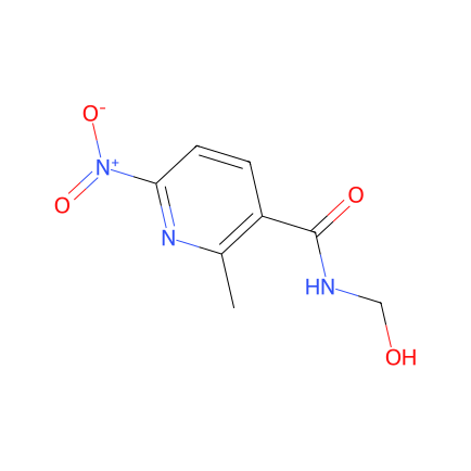 Cc1nc([N+](=O)[O-])ccc1C(=O)NCO